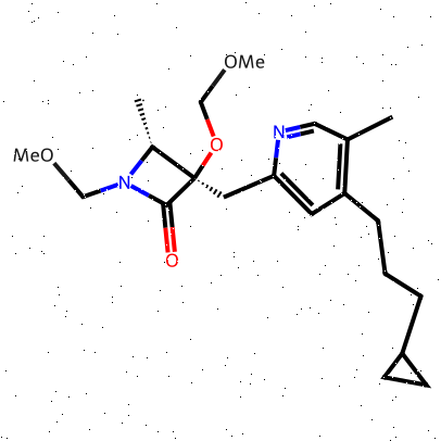 [CH2][C@H]1N(COC)C(=O)[C@]1(Cc1cc(CCCC2CC2)c(C)cn1)OCOC